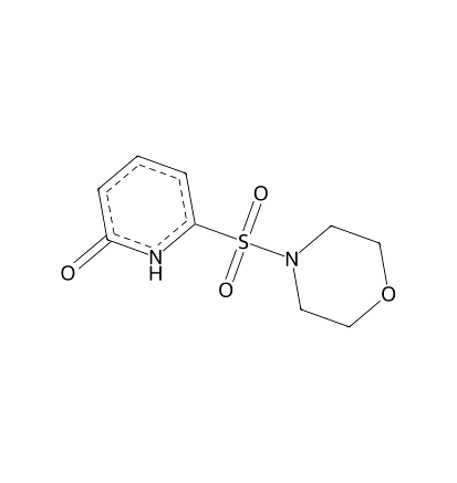 O=c1cccc(S(=O)(=O)N2CCOCC2)[nH]1